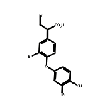 CC(C)c1cc(Oc2ccc(C(CBr)C(=O)O)cc2Br)ccc1O